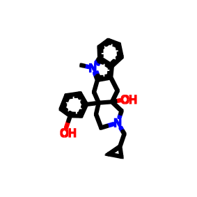 Cn1c2c(c3ccccc31)CC1(O)CN(CC3CC3)CCC1(c1cccc(O)c1)C2